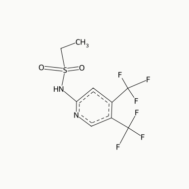 CCS(=O)(=O)Nc1cc(C(F)(F)F)c(C(F)(F)F)cn1